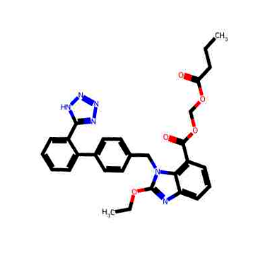 CCCC(=O)OCOC(=O)c1cccc2nc(OCC)n(Cc3ccc(-c4ccccc4-c4nnn[nH]4)cc3)c12